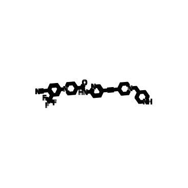 N#Cc1ccc(N2CCC(C(=O)Nc3ccc(C#CC4CCN(CC5CCNCC5)CC4)cn3)CC2)cc1C(F)(F)F